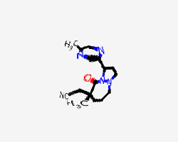 Cc1cnc(C2CCN3CCCC(C)(CC#N)C(=O)N23)cn1